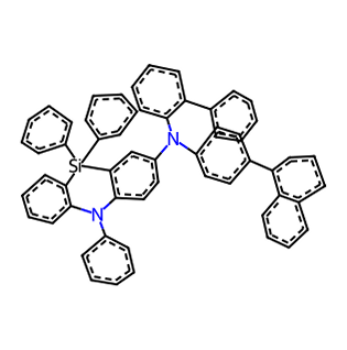 c1ccc(-c2ccccc2N(c2ccc(-c3cccc4ccccc34)cc2)c2ccc3c(c2)[Si](c2ccccc2)(c2ccccc2)c2ccccc2N3c2ccccc2)cc1